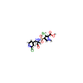 COC(=O)c1c(Br)c(S(=O)(=O)NC(C)(C=O)Cc2ccnc(Cl)c2)cn1C